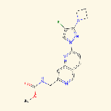 CC(C)(C)OC(=O)NCc1cc2nc(-n3cc(F)c(N4CCC4)n3)ccc2cn1